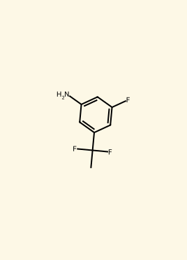 CC(F)(F)c1cc(N)cc(F)c1